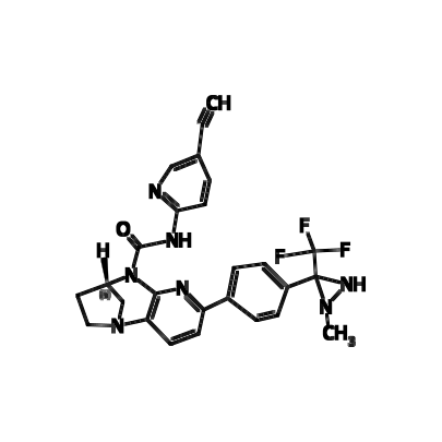 C#Cc1ccc(NC(=O)N2c3nc(-c4ccc(C5(C(F)(F)F)NN5C)cc4)ccc3N3CC[C@H]2C3)nc1